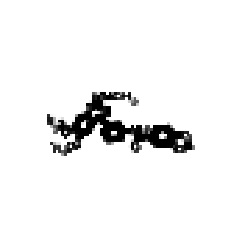 CNc1nc(-c2cccc(NC(=O)c3ccc4c(c3)OCO4)c2)c2cc(OC)c(OC)cc2n1